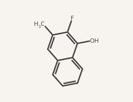 Cc1cc2ccccc2c(O)c1F